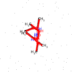 CCCCCCCCCCCCCC(=O)N[C@H](COCC[C@@H](CCCCCCC)OC(=O)CCCCCCCCCCC)COP(=O)(O)OCCNC(=O)NCCOP(=O)(O)OC[C@H](COCC[C@@H](CCCCCCC)OC(=O)CCCCCCCCCCC)NC(=O)CCCCCCCCCCCCC